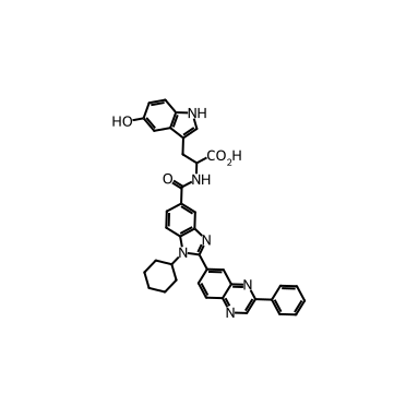 O=C(NC(Cc1c[nH]c2ccc(O)cc12)C(=O)O)c1ccc2c(c1)nc(-c1ccc3ncc(-c4ccccc4)nc3c1)n2C1CCCCC1